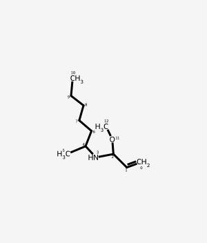 C=CC(NC(C)CCCCC)OC